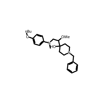 CCCCOc1ccc(N(C)CC(OC)C2(O)CCN(Cc3ccccc3)CC2)cc1